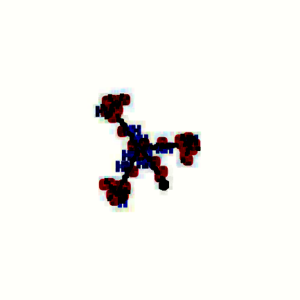 CC(=O)NC1C(OCCCCCC(=O)NCCCNC(=O)CN(CC(=O)NCCCNC(=O)CCCCCOC2OC(COC(C)=O)C(OC(C)=O)C(OC(C)=O)C2NC(C)=O)C(CCCCNC(=O)CCCC(=O)OCc2ccccc2)C(=O)NCCCNC(=O)CCCCCOC2OC(COC(C)=O)C(OC(C)=O)C(OC(C)=O)C2NC(C)=O)OC(COC(C)=O)C(OC(C)=O)C1OC(C)=O